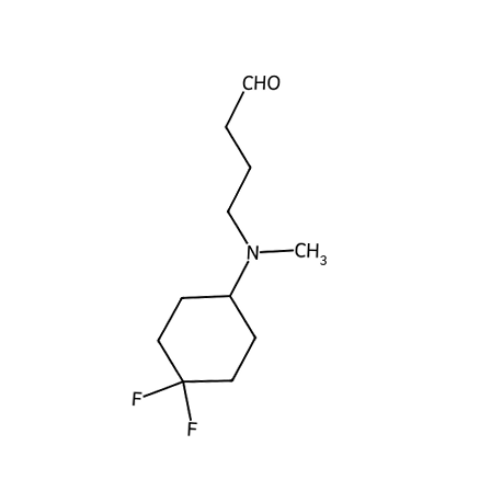 CN(CCCC=O)C1CCC(F)(F)CC1